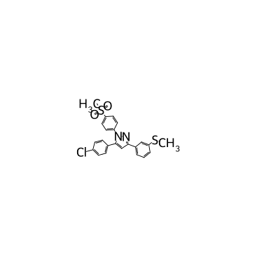 CSc1cccc(-c2cc(-c3ccc(Cl)cc3)n(-c3ccc(S(C)(=O)=O)cc3)n2)c1